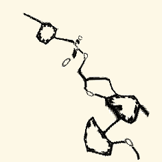 COc1ccccc1-c1cc(C)cc2c1OC(COS(=O)(=O)c1ccc(C)cc1)C2